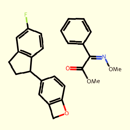 CON=C(C(=O)OC)c1ccccc1.Fc1ccc2c(c1)CCC2c1ccc2c(c1)CO2